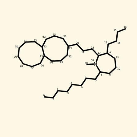 CCCCCCCCC1CCCC(CCCC)C(CCCC2CCCC3CCCCCCCC3CCC2)N1C